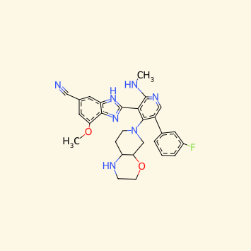 CNc1ncc(-c2cccc(F)c2)c(N2CCC3NCCOC3C2)c1-c1nc2c(OC)cc(C#N)cc2[nH]1